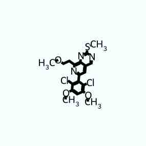 COCCc1nc(-c2c(Cl)c(OC)cc(OC)c2Cl)cc2cnc(SC)nc12